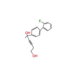 CC(O)(C#CCCO)c1ccc(-c2ccccc2F)cc1